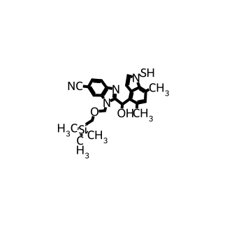 Cc1cc(C)c2c(ccn2S)c1C(O)c1nc2ccc(C#N)cc2n1COCC[Si](C)(C)C